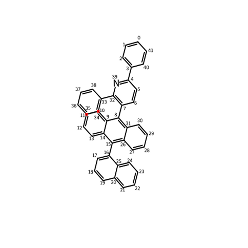 c1ccc(-c2ccc(-c3c4ccccc4c(-c4cccc5ccccc45)c4ccccc34)c(-c3ccccc3)n2)cc1